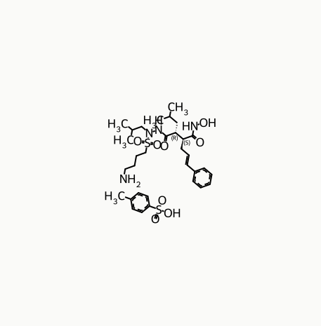 CC(C)C[C@@H](C(=O)NN(CC(C)C)S(=O)(=O)CCCCN)[C@H](CC=Cc1ccccc1)C(=O)NO.Cc1ccc(S(=O)(=O)O)cc1